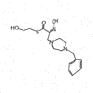 O=C(SCCO)C(CN1CCN(Cc2ccccc2)CC1)=NO